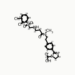 CN(CCc1ccc(C2=NCCN2C(=O)O)cc1)C(=O)CCNCS(=O)(=O)c1cccc(Cl)c1Cl